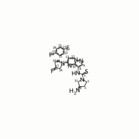 N[C@@H]1CCN(C(=S)Nc2cnn3ccc(N4C[C@@H](F)C[C@@H]4c4cc(F)ccc4F)nc23)C1